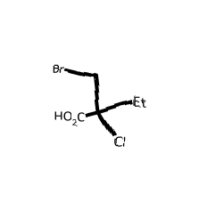 CCC(Cl)(CBr)C(=O)O